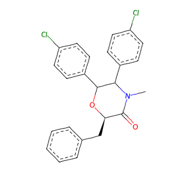 CN1C(=O)[C@@H](Cc2ccccc2)OC(c2ccc(Cl)cc2)C1c1ccc(Cl)cc1